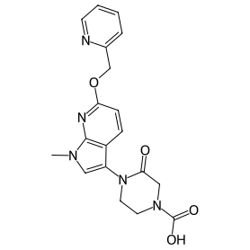 Cn1cc(N2CCN(C(=O)O)CC2=O)c2ccc(OCc3ccccn3)nc21